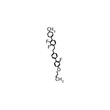 C=CCCOc1ccc(-c2ccc(CCc3ccc(C4=CCC(C)CC4)c(F)c3F)cc2)c(F)c1